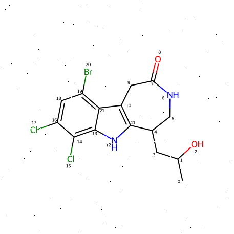 CC(O)CC1CNC(=O)Cc2c1[nH]c1c(Cl)c(Cl)cc(Br)c21